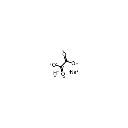 O=C([O-])C(=O)[O-].[H+].[Na+]